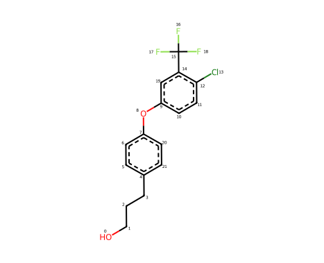 OCCCc1ccc(Oc2ccc(Cl)c(C(F)(F)F)c2)cc1